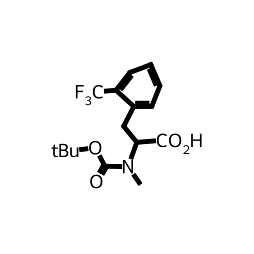 CN(C(=O)OC(C)(C)C)C(Cc1ccccc1C(F)(F)F)C(=O)O